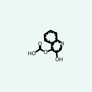 O=C(O)Oc1c(O)cnc2ccccc12